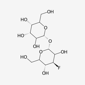 OCC1O[C@H](O[C@H]2OC(CO)[C@@H](O)[C@@H](O)C2O)C(O)[C@@H](F)[C@@H]1O